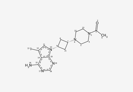 CC(=O)N1CCN([C@H]2C[C@@H](n3cc(I)c4c(N)ncnc43)C2)CC1